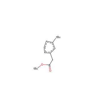 CC(C)(C)OC(=O)Cc1cccc(C(C)(C)C)c1